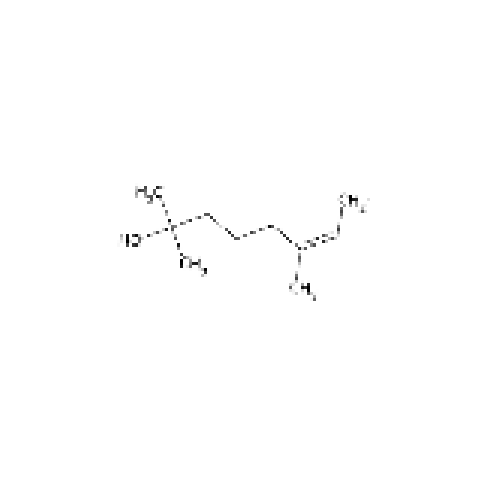 [CH2]C=C(C)CCCC(C)(C)O